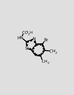 Cc1cc2sc(NC(=O)O)nc2c(Br)c1C